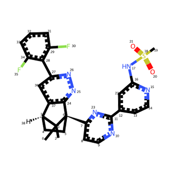 CC1(C)[C@H]2CC[C@@]1(c1ccnc(-c3ccnc(NS(C)(=O)=O)c3)n1)c1nnc(-c3c(F)cccc3F)cc12